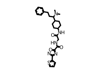 CN(C)C(CCc1ccccc1)C1CCC(NC(=O)CNC(=O)c2nc(-c3cccs3)no2)CC1